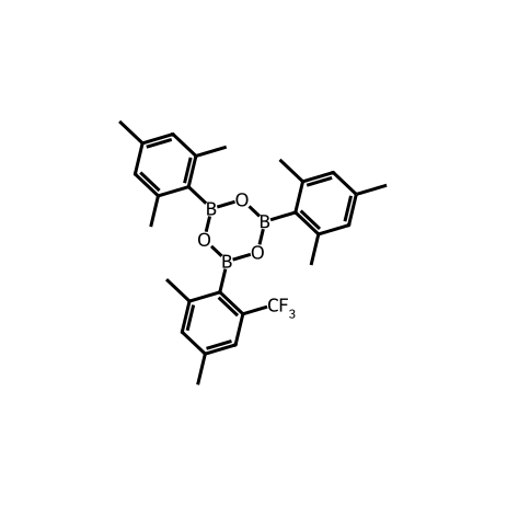 Cc1cc(C)c(B2OB(c3c(C)cc(C)cc3C)OB(c3c(C)cc(C)cc3C(F)(F)F)O2)c(C)c1